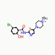 CC(C)(C)[N+]1(C)CCN(c2cnc(NC(=O)c3cc(Br)ccc3O)s2)CC1